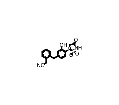 N#CCc1ccccc1Cc1ccc(N2CC(=O)NS2(=O)=O)c(O)c1